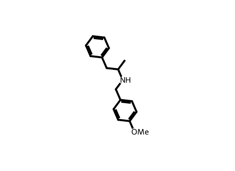 COc1ccc(CNC(C)Cc2ccccc2)cc1